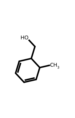 CC1C=CC=CC1CO